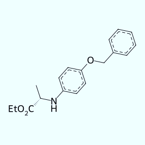 CCOC(=O)[C@H](C)Nc1ccc(OCc2ccccc2)cc1